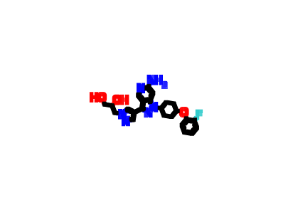 Nc1cc2c(cn1)c(-c1cnn(C[C@@H](O)CO)c1)nn2C1CCC(Oc2ccccc2F)CC1